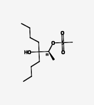 CCCCC(O)(CCCC)[C@H](C)OS(C)(=O)=O